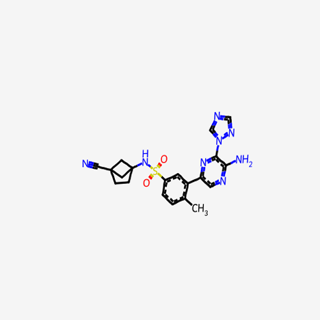 Cc1ccc(S(=O)(=O)NC23CCC(C#N)(C2)C3)cc1-c1cnc(N)c(-n2cncn2)n1